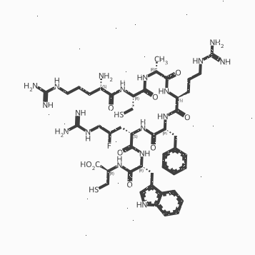 C[C@@H](NC(=O)[C@H](CS)NC(=O)[C@@H](N)CCCNC(=N)N)C(=O)N[C@@H](CCCNC(=N)N)C(=O)N[C@H](Cc1ccccc1)C(=O)N[C@@H](CC(F)CNC(=N)N)C(=O)N[C@H](Cc1c[nH]c2ccccc12)C(=O)N[C@@H](CS)C(=O)O